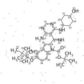 CC(C)(C)OC(=O)n1c(C(=N)c2c(N)ncnc2NC2CCC(O)CC2)cc2cc(O[Si](C)(C)C(C)(C)C)ccc21